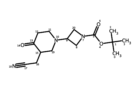 CC(C)(C)OC(=O)N1CC(N2CCC(=O)C(CC#N)C2)C1